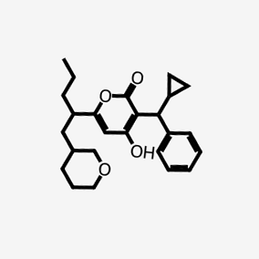 CCCC(CC1CCCOC1)c1cc(O)c(C(c2ccccc2)C2CC2)c(=O)o1